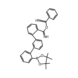 CC1(C)OB(c2ccccc2-c2cccc(-c3ccccc3C(=N)OC(=N)c3ccccc3)c2)OC1(C)C